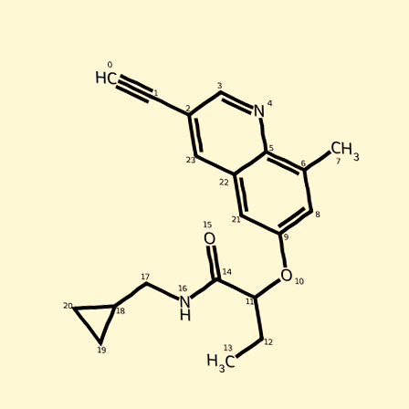 C#Cc1cnc2c(C)cc(OC(CC)C(=O)NCC3CC3)cc2c1